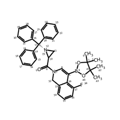 CC1(C)OB(C2=CN(C(=O)C3C[N@@]3C(c3ccccc3)(c3ccccc3)c3ccccc3)Cc3cccc(F)c32)OC1(C)C